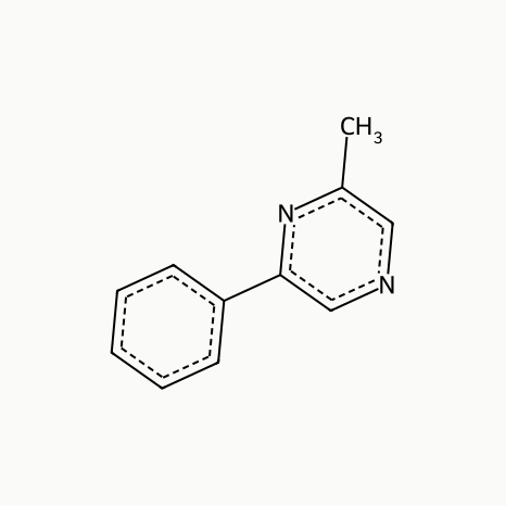 Cc1cncc(-c2ccccc2)n1